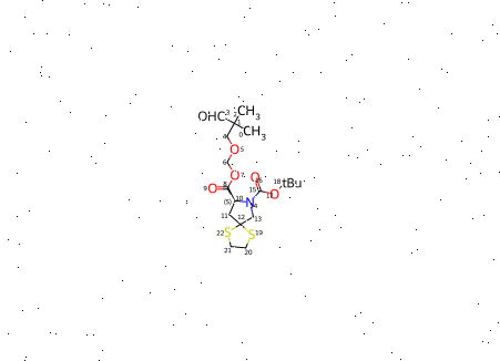 CC(C)(C=O)COCOC(=O)[C@@H]1CC2(CN1C(=O)OC(C)(C)C)SCCS2